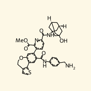 COC(=O)c1nc(C(=O)NC23C[C@@H]4C[C@@H](CC(O)(C4)C2)C3)ccc1-c1cc2c(cc1C(=O)Nc1ccc(CN)cc1)-c1sccc1CCO2